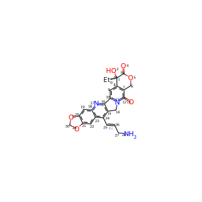 CC[C@@]1(O)C(=O)OCc2c1cc1n(c2=O)Cc2c-1nc1cc3c(cc1c2/C=C/CN)OCO3